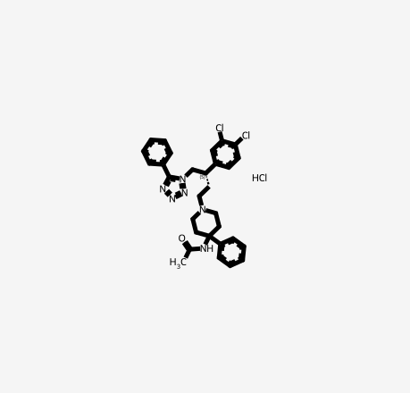 CC(=O)NC1(c2ccccc2)CCN(CC[C@H](Cn2nnnc2-c2ccccc2)c2ccc(Cl)c(Cl)c2)CC1.Cl